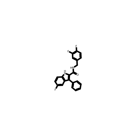 O=C(NCc1ccc(F)c(F)c1)c1[nH]c2ccc(F)cc2c1-c1ccccc1